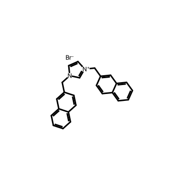 [Br-].c1ccc2cc(Cn3cc[n+](Cc4ccc5ccccc5c4)c3)ccc2c1